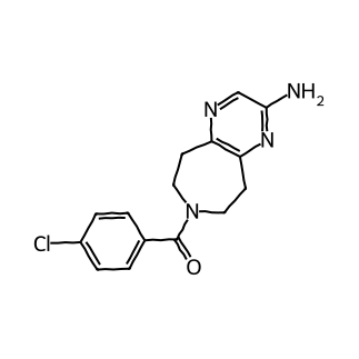 Nc1cnc2c(n1)CCN(C(=O)c1ccc(Cl)cc1)CC2